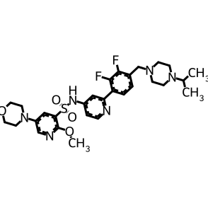 COc1ncc(N2CCOCC2)cc1S(=O)(=O)Nc1ccnc(-c2ccc(CN3CCN(C(C)C)CC3)c(F)c2F)c1